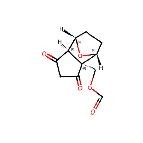 O=COC[C@]12C(=O)CC(=O)[C@H]1[C@@H]1CC[C@H]2O1